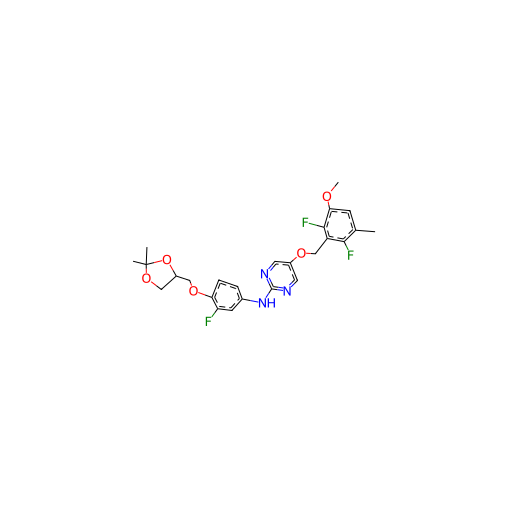 COc1cc(C)c(F)c(COc2cnc(Nc3ccc(OCC4COC(C)(C)O4)c(F)c3)nc2)c1F